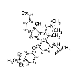 C=C(/C(=C\N(C)C)c1cnn(/C=C\C=C/CC)c1C)c1cc(Oc2cccc(C(C)(CC)CC)c2)ccc1NC(C)F